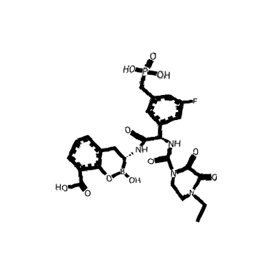 CCN1CCN(C(=O)N[C@@H](C(=O)N[C@H]2Cc3cccc(C(=O)O)c3OB2O)c2cc(F)cc(CP(=O)(O)O)c2)C(=O)C1=O